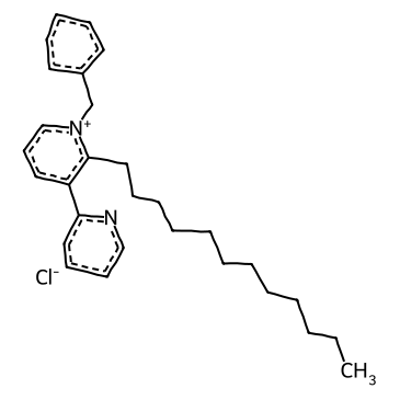 CCCCCCCCCCCCc1c(-c2ccccn2)ccc[n+]1Cc1ccccc1.[Cl-]